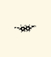 CC(C)CSc1c(F)c(F)c(-c2c(F)c(F)c(SCC(C)C)c(F)c2F)c(F)c1F